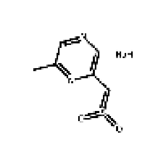 Cc1cncc(C=S(=O)=O)n1.[NaH]